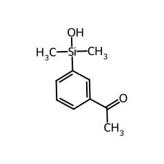 CC(=O)c1cccc([Si](C)(C)O)c1